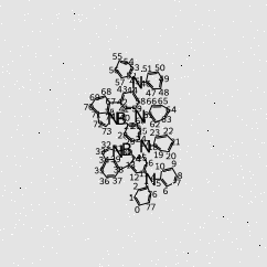 c1ccc(N(c2ccccc2)c2cc3c4c(c2)N(c2ccccc2)c2cc5c(cc2B4n2ccc4cccc-3c42)B2c3c(cc(N(c4ccccc4)c4ccccc4)cc3N5c3ccccc3)-c3cccc4ccn2c34)cc1